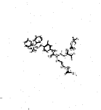 [CH2]c1cc(NC(=O)[C@H](CCCNC(N)=O)NC[C@@H](NC(=O)OC(C)(C)C)C(C)C)ccc1CO[Si](c1ccccc1)(c1ccccc1)C(C)(C)C